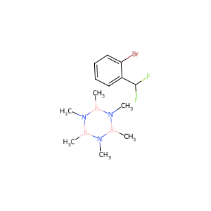 CB1N(C)B(C)N(C)B(C)N1C.FC(F)c1ccccc1Br